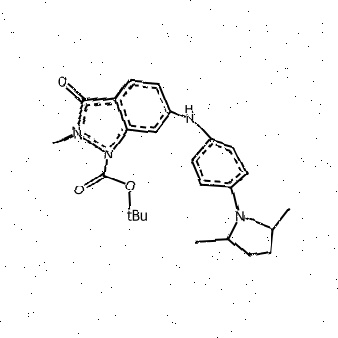 CC1CCC(C)N1c1ccc(Nc2ccc3c(=O)n(C)n(C(=O)OC(C)(C)C)c3c2)cc1